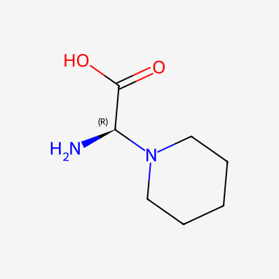 N[C@@H](C(=O)O)N1CCCCC1